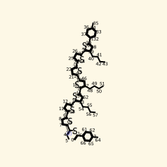 C=C(S/C(=C\C)c1ccc(-c2ccc(-c3sc(-c4sc(-c5ccc(-c6ccc(-c7sc(-c8ccc(C)cc8)cc7CCCC)s6)s5)cc4CCCC)cc3CCCC)s2)s1)c1ccc(C)cc1